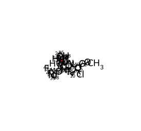 COCOc1cc(Cl)c(C2CC2)c(-c2nc(C3CC3)c3c(N4C[C@H]5CC[C@@H](C4)N5C(=O)O)nc(OC[C@@]45CCCN4C[C@H](F)C5)nc3c2F)c1